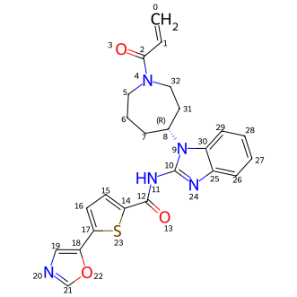 C=CC(=O)N1CCC[C@@H](n2c(NC(=O)c3ccc(-c4cnco4)s3)nc3ccccc32)CC1